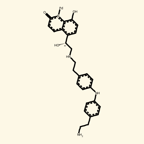 NCCc1ccc(Nc2ccc(CCNC[C@H](O)c3ccc(O)c4c3ccc(=O)[n]4[Pd])cc2)cc1